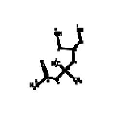 CC(C)(CC(CO)CO)OC(N)=O